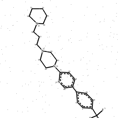 FC(F)(F)c1ccc(-c2ccc(N3CCN(CCCN4CCCCC4)CC3)nc2)cc1